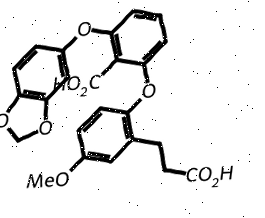 COc1ccc(Oc2cccc(Oc3ccc4c(c3)OCO4)c2C(=O)O)c(CCC(=O)O)c1